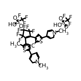 Cc1sc(C2=CCN(C)C=C2)cc1C1=C(c2cc(C3=CCN(C)C=C3)sc2C)C(F)(F)C(F)(F)C1(F)F.O=S(=O)(O)C(F)(F)F.O=S(=O)(O)C(F)(F)F